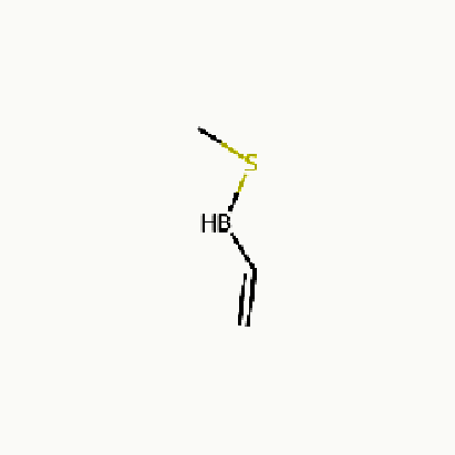 C=CBSC